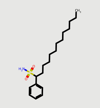 CCCCCCCCCCCCC(c1ccccc1)S(N)(=O)=O